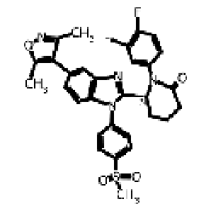 Cc1noc(C)c1-c1ccc2c(c1)nc([C@@H]1CCCC(=O)N1c1ccc(F)c(F)c1)n2-c1ccc(S(C)(=O)=O)cc1